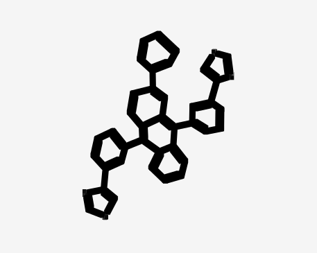 c1ccc(-c2ccc3c(-c4cccc(-c5cscn5)c4)c4ccccc4c(-c4cccc(-c5cscn5)c4)c3c2)cc1